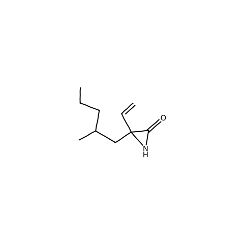 C=CC1(CC(C)CCC)NC1=O